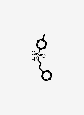 Cc1ccc(S(=O)(=O)NCCc2cc[c]cc2)cc1